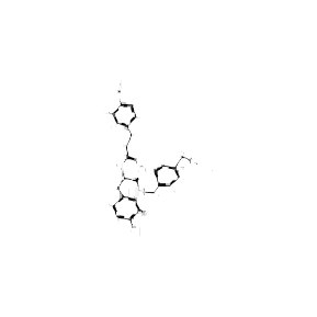 CCOc1ccc(CCC(=O)NC(Cc2ccc(Cl)c(Cl)c2)C(=O)NCc2ccc(CN)cc2)cc1